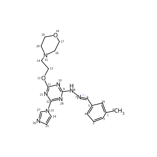 Cc1cccc(/C=N/Nc2nc(OCCN3CCOCC3)nc(-n3ccnc3)n2)c1